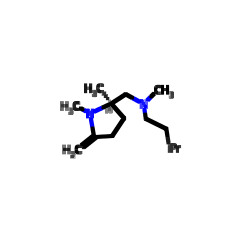 C=C1CC[C@](C)(CN(C)CCC(C)C)N1C